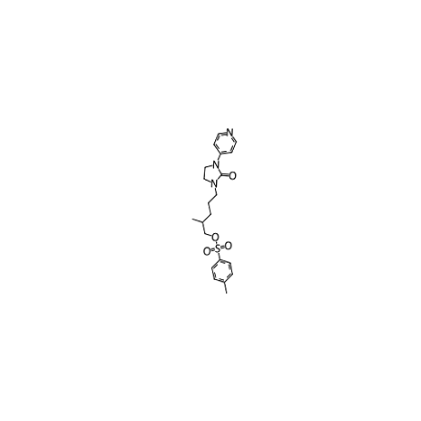 Cc1ccc(S(=O)(=O)OCC(C)CCCN2CCN(c3ccncc3)C2=O)cc1